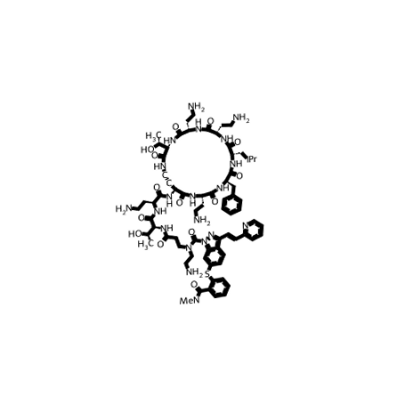 CNC(=O)c1ccccc1Sc1ccc2c(/C=C/c3ccccn3)nn(C(=O)N(CCN)CCC(=O)N[C@H](C(=O)N[C@@H](CCN)C(=O)N[C@H]3CCNC(=O)[C@H]([C@@H](C)O)NC(=O)[C@H](CCN)NC(=O)[C@H](CCN)NC(=O)[C@H](CC(C)C)NC(=O)[C@@H](Cc4ccccc4)NC(=O)[C@H](CCN)NC3=O)[C@@H](C)O)c2c1